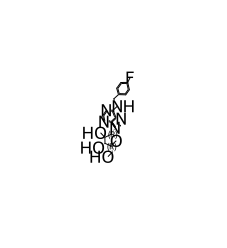 OC[C@H]1O[C@@H](n2cnc3c(NCc4ccc(F)cc4)ncnc32)C(O)C1O